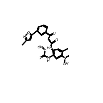 CCCN(C)c1cc(NC(=O)OC(C)(C)C)c(NC(=O)CC(=O)c2cccc(-c3cc(C)no3)c2)cc1C